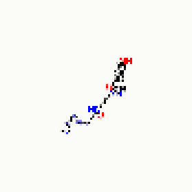 CC/C=C\C/C=C\C/C=C\C/C=C\C/C=C\CCCC(=O)NCCCCCCNC(=O)[C@]12CCC[C@H](C)C1C1=CCC3[C@@]4(C)CC[C@H](O)C(C)(C)C4CC[C@@]3(C)[C@]1(C)CC2